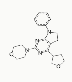 c1ccc(N2CCc3c(C4CCOC4)nc(N4CCOCC4)nc32)cc1